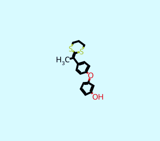 CC(=C1SCCCS1)c1ccc(Oc2cccc(O)c2)cc1